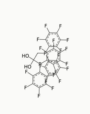 OC(O)(CP(c1c(F)c(F)c(F)c(F)c1F)c1c(F)c(F)c(F)c(F)c1F)P(c1c(F)c(F)c(F)c(F)c1F)c1c(F)c(F)c(F)c(F)c1F